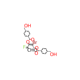 O=C[C@@H](F)[C@H](OC(=O)c1ccc(CO)cc1)[C@@H](Br)COC(=O)c1ccc(CO)cc1